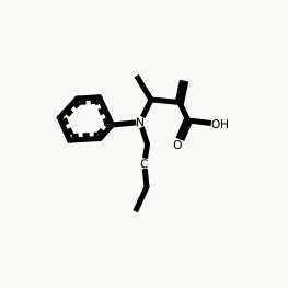 C=C(C(=O)O)C(C)N(CCCC)c1ccccc1